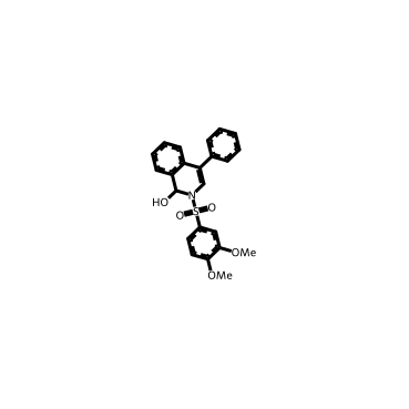 COc1ccc(S(=O)(=O)N2C=C(c3ccccc3)c3ccccc3C2O)cc1OC